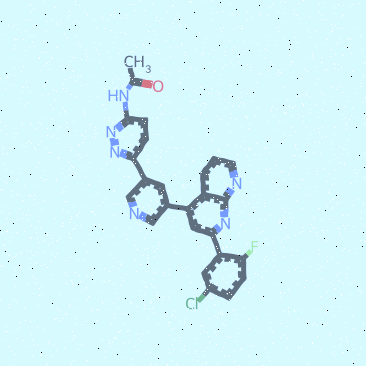 CC(=O)Nc1ccc(-c2cncc(-c3cc(-c4cc(Cl)ccc4F)nc4ncccc34)c2)nn1